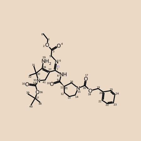 CCOC(=O)C/N=C(/NC(=O)[C@@H]1CCCN(C(=O)OCc2ccccc2)C1)C1=C(N)C(C)(C)N(C(=O)OC(C)(C)C)C1